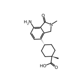 CN1Cc2c(c(N)ccc2[C@H]2CC[C@@](C)(C(=O)O)CC2)C1=O